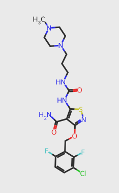 CN1CCN(CCCNC(=O)Nc2snc(OCc3c(F)ccc(Cl)c3F)c2C(N)=O)CC1